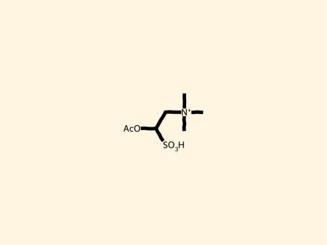 CC(=O)OC(C[N+](C)(C)C)S(=O)(=O)O